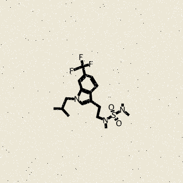 CC(C)Cn1cc(CCN(C)S(=O)(=O)N(C)C)c2ccc(C(F)(F)F)cc21